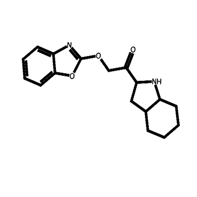 O=C(COc1nc2ccccc2o1)C1CC2CCCCC2N1